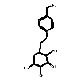 CCc1ccc(OCC2OC(O)C(O)C(O)C2O)cc1